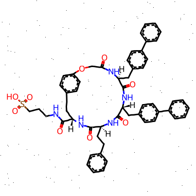 O=C1COc2ccc(cc2)C[C@@H](C(=O)NCCCS(=O)(=O)O)NC(=O)[C@H](CCc2ccccc2)NC(=O)[C@@H](Cc2ccc(-c3ccccc3)cc2)NC(=O)[C@H](Cc2ccc(-c3ccccc3)cc2)N1